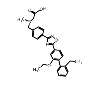 CCOc1cc(-c2nc(-c3ccc(CN(C)CC(=O)O)cc3)no2)ccc1-c1ccccc1CC